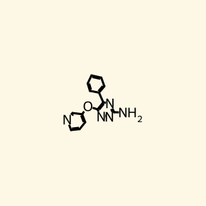 Nc1nnc(Oc2cccnc2)c(-c2ccccc2)n1